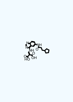 O=C(CCC1CCCC1)Nc1ccc2ncnc(NC=C(C(=O)O)C(=O)O)c2c1